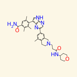 Cc1cc(-c2cnc3[nH]cc(-c4c(C)cc(C(N)=O)c(C)c4C)c3n2)cc2c1CCN(CCC(=O)NC1CCOCC1)C2